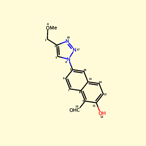 COCc1cn(-c2ccc3c(C=O)c(O)ccc3c2)nn1